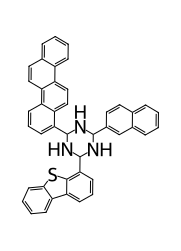 c1ccc2cc(C3NC(c4cccc5c4ccc4c6ccccc6ccc54)NC(c4cccc5c4sc4ccccc45)N3)ccc2c1